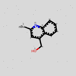 CCCCc1cc(CO)c2ccccc2n1